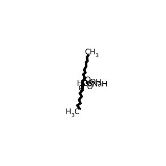 CCCCCCCCCCCCOCCCCCCCC.O=S(=O)(O)O.[NaH]